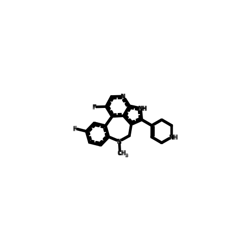 CN1Cc2c(C3=CCNCC3)[nH]c3ncc(F)c(c23)-c2cc(F)ccc21